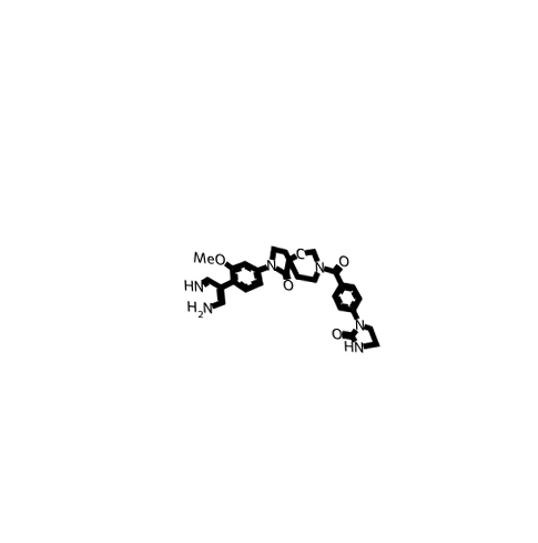 COc1cc(N2CCC3(CCN(C(=O)c4ccc(N5CCNC5=O)cc4)CC3)C2=O)ccc1/C(C=N)=C/N